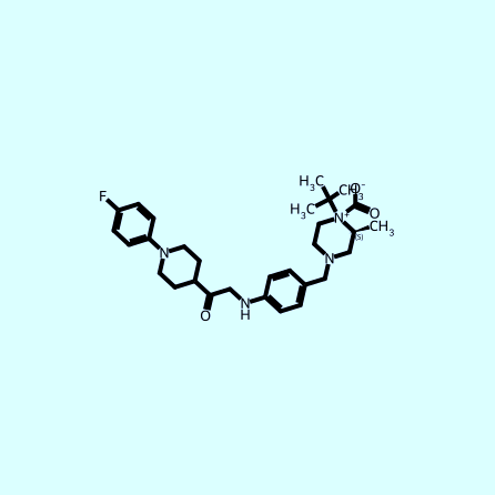 C[C@H]1CN(Cc2ccc(NCC(=O)C3CCN(c4ccc(F)cc4)CC3)cc2)CC[N+]1(C(=O)[O-])C(C)(C)C